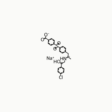 C[C@H](Cc1ccc(S(=O)(=O)c2ccc(C(=O)[O-])cc2)cc1)NC[C@H](O)c1ccc(Cl)cc1.[Na+]